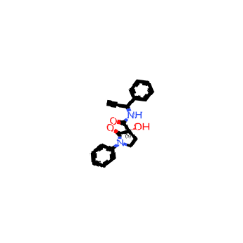 C#CC(NC(=O)[C@@]1(O)CCN(c2ccccc2)C1=O)c1ccccc1